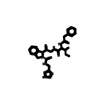 CCC(C)C(NC(=O)Cc1cccnc1)C(=O)NCC(=O)N1c2ccccc2C[C@H]1C(=O)NCc1nn[nH]n1